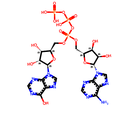 Nc1ncnc2c1ncn2[C@@H]1O[C@H](COP(=O)(OC[C@H]2O[C@@H](n3cnc4c(O)ncnc43)[C@H](O)[C@@H]2O)OP(=O)(O)OP(=O)(O)O)[C@@H](O)[C@H]1O